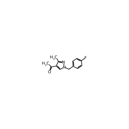 CC(=O)c1cn(Cc2ccc(F)cc2)nc1C